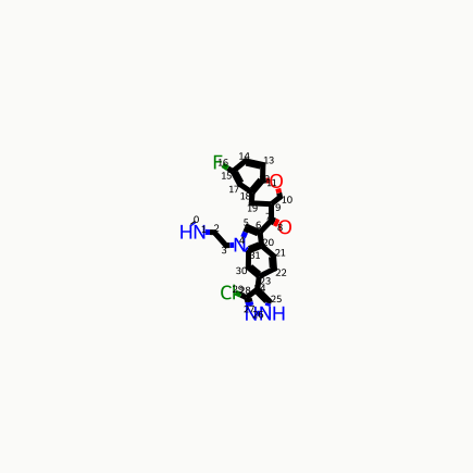 CNCCn1cc(C(=O)C2COc3ccc(F)cc3C2)c2ccc(-c3c[nH]nc3Cl)cc21